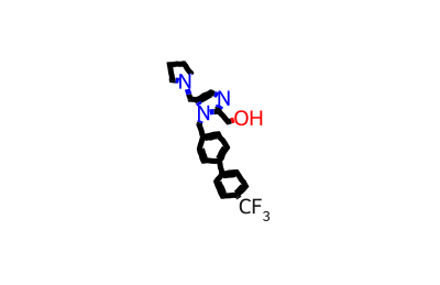 OCc1ncc(CN2CCCC2)n1Cc1ccc(-c2ccc(C(F)(F)F)cc2)cc1